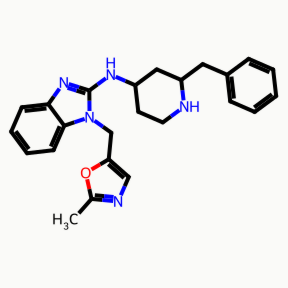 Cc1ncc(Cn2c(NC3CCNC(Cc4ccccc4)C3)nc3ccccc32)o1